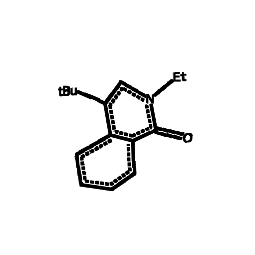 CCn1cc(C(C)(C)C)c2ccccc2c1=O